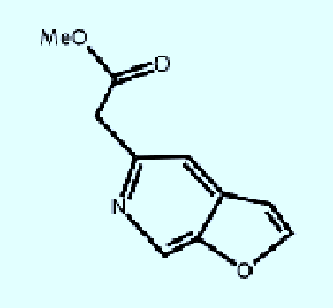 COC(=O)Cc1cc2ccoc2cn1